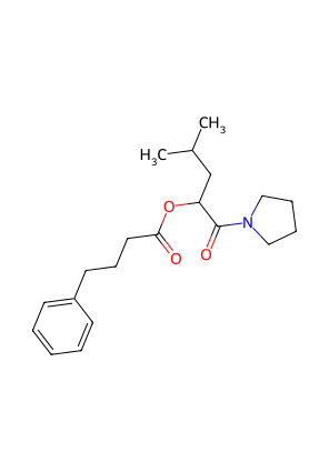 CC(C)CC(OC(=O)CCCc1ccccc1)C(=O)N1CCCC1